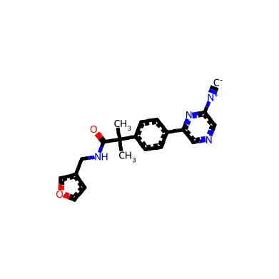 [C-]#[N+]c1cncc(-c2ccc(C(C)(C)C(=O)NCc3ccoc3)cc2)n1